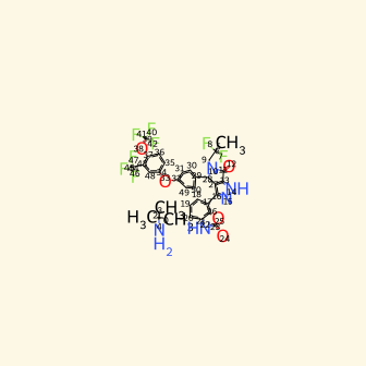 CC(C)(C)N.CC(F)(F)CN1C(=O)c2[nH]nc(-c3cccc4[nH]c(=O)oc34)c2C1c1ccc(Oc2ccc(OC(F)(F)F)c(C(F)(F)F)c2)cc1